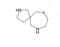 C1CSCC2(CCNC2)CN1